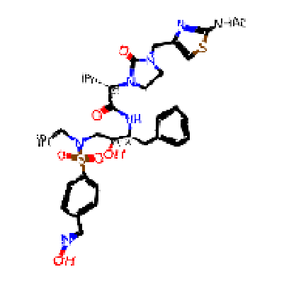 CC(=O)Nc1nc(CN2CCN([C@H](C(=O)N[C@@H](Cc3ccccc3)[C@@H](O)CN(CC(C)C)S(=O)(=O)c3ccc(C=NO)cc3)C(C)C)C2=O)cs1